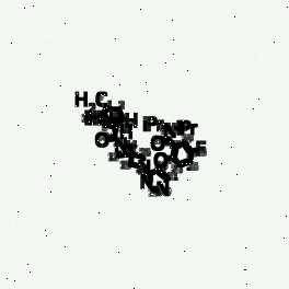 C=C1C[C@H]2CC[C@@H]1N[C@@H]2C(=O)N1CC2(C1)CN(c1ncncc1Oc1ccc(F)cc1C(=O)N(C(C)C)C(C)C)C2